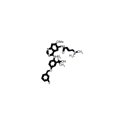 COc1cc2ncnc(Nc3ccc(OCc4cccc(F)c4)cc3C(C)(C)O)c2cc1NC(=O)/C=C/CN(C)C